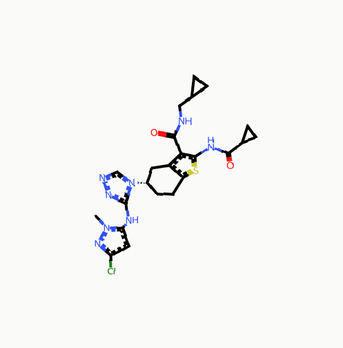 Cn1nc(Cl)cc1Nc1nncn1[C@H]1CCc2sc(NC(=O)C3CC3)c(C(=O)NCC3CC3)c2C1